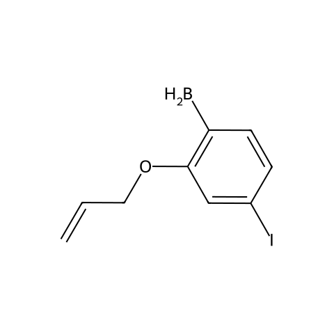 Bc1ccc(I)cc1OCC=C